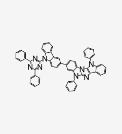 c1ccc(-c2nc(-c3ccccc3)nc(-n3c4ccccc4c4cc(-c5ccc6c(c5)n(-c5ccccc5)c5nc7c8ccccc8n(-c8ccccc8)c7n65)ccc43)n2)cc1